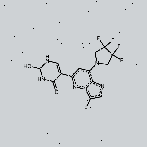 O=C1NC(O)NC=C1c1cc(N2CC(F)(F)C(F)(F)C2)c2ncc(F)n2n1